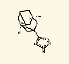 [CH]1[C@@H]2CC3C[C@H]1CC(c1nn[nH]n1)(C3)C2